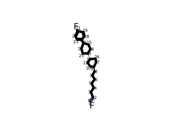 F/C=C/CCCCCC[C@H]1CC[C@H](C2CCC(c3ccc(F)cc3)CC2)CC1